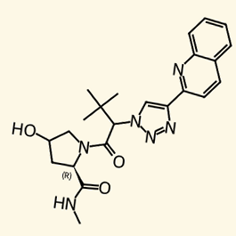 CNC(=O)[C@H]1CC(O)CN1C(=O)C(n1cc(-c2ccc3ccccc3n2)nn1)C(C)(C)C